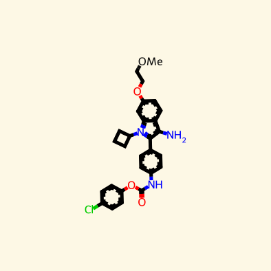 COCCOc1ccc2c(N)c(-c3ccc(NC(=O)Oc4ccc(Cl)cc4)cc3)n(C3CCC3)c2c1